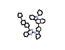 C1=CC2C(C3=Cc4c(c5ccccc5n4-c4nc(-c5ccc6cc(-c7ccccc7)ccc6c5)c5ccccc5n4)CC3)=Cc3c(n(-c4ccccc4)c4ccccc34)C2C=C1